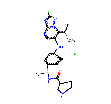 CO[C@@H](C)c1c(Nc2ccc([C@H](N(C)C(=O)C3CCNC3)C(F)(F)F)cc2)cnc2nc(Cl)nn12.Cl